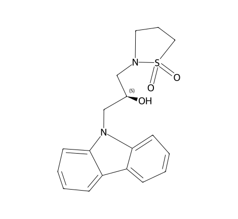 O=S1(=O)CCCN1C[C@@H](O)Cn1c2ccccc2c2ccccc21